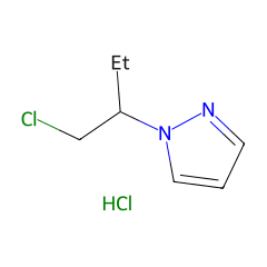 CCC(CCl)n1cccn1.Cl